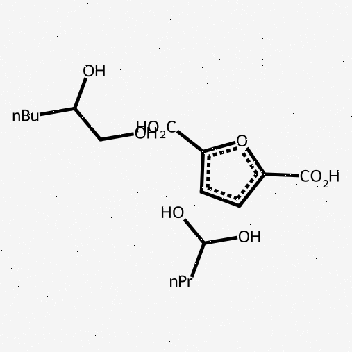 CCCC(O)O.CCCCC(O)CO.O=C(O)c1ccc(C(=O)O)o1